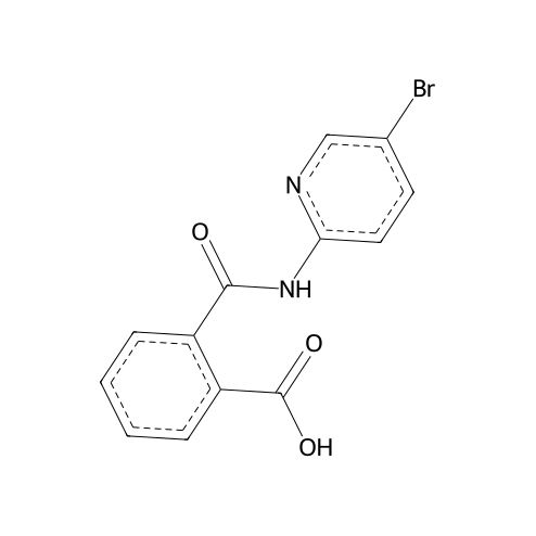 O=C(O)c1ccccc1C(=O)Nc1ccc(Br)cn1